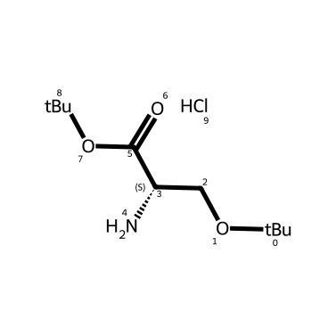 CC(C)(C)OC[C@H](N)C(=O)OC(C)(C)C.Cl